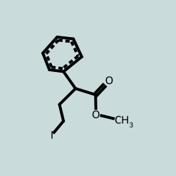 COC(=O)C(CCI)c1ccccc1